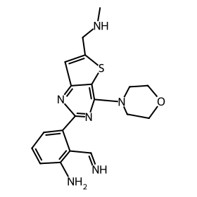 CNCc1cc2nc(-c3cccc(N)c3C=N)nc(N3CCOCC3)c2s1